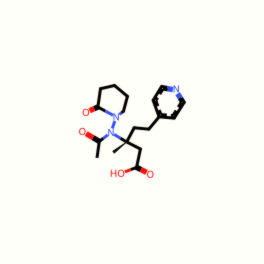 CC(=O)N(N1CCCCC1=O)[C@](C)(CCc1ccncc1)CC(=O)O